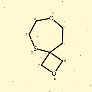 C1CSC2(CCO1)COC2